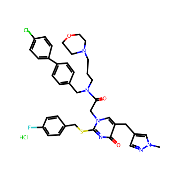 Cl.Cn1cc(Cc2cn(CC(=O)N(CCCN3CCOCC3)Cc3ccc(-c4ccc(Cl)cc4)cc3)c(SCc3ccc(F)cc3)nc2=O)cn1